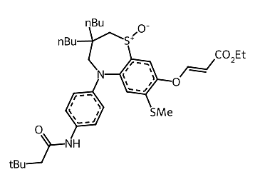 CCCCC1(CCCC)CN(c2ccc(NC(=O)CC(C)(C)C)cc2)c2cc(SC)c(O/C=C/C(=O)OCC)cc2[S+]([O-])C1